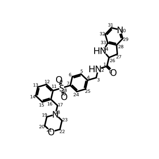 O=C(NCc1ccc(S(=O)(=O)c2ccccc2CN2CCOCC2)cc1)C1Cc2cnccc2N1